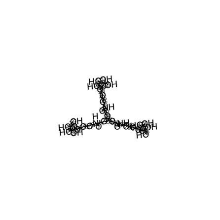 CC(COCCC(=O)NCCOCCOCCOC1OC(CO)[C@@H](O)C(O)[C@H]1O)(COCCC(=O)NCCOCCOCCOC1OC(CO)[C@@H](O)C(O)[C@H]1O)COCCC(=O)NCCOCCOCCO[C@H]1OC(CO)[C@@H](O)C(O)C1O